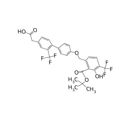 CC(C)(C)OC(=O)c1c(COc2ccc(-c3ccc(CC(=O)O)cc3C(F)(F)F)cc2)ccc(C(F)(F)F)c1O